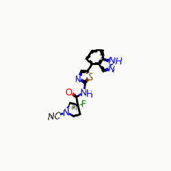 N#CN1CC[C@](F)(C(=O)Nc2ncc(-c3cccc4[nH]ncc34)s2)C1